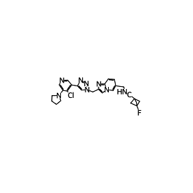 FC12CC(CNCc3ccc4nc(Cn5cc(-c6cncc(N7CCCC7)c6Cl)nn5)cn4c3)(C1)C2